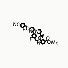 COC(=O)c1ccc2nc(Cc3ccc(-c4cccc(OCc5ccc(C#N)cc5F)n4)cc3F)n(CC3(c4cccnc4)CC3)c2c1